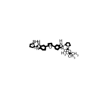 BN1CCC[C@H]1c1nc2ccc(-c3ccc(-c4ccc5nc([C@@H]6CCCN6C(=O)OC(C)(C)C)[nH]c5c4)o3)cc2[nH]1